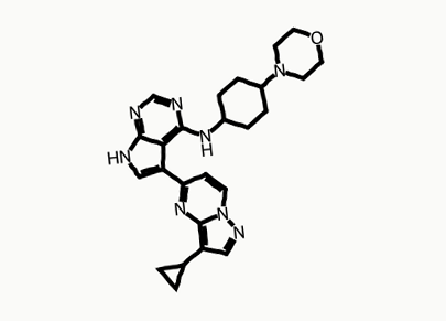 c1nc(NC2CCC(N3CCOCC3)CC2)c2c(-c3ccn4ncc(C5CC5)c4n3)c[nH]c2n1